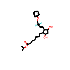 CC(C)OC(=O)CCC/C=C/CC1C(O)CC(O)C1/C=C/C(F)(F)COc1ccccc1